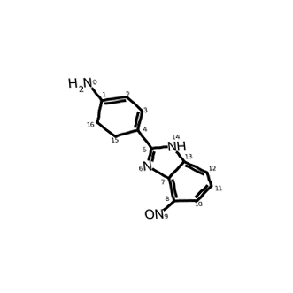 NC1=CC=C(c2nc3c(N=O)cccc3[nH]2)CC1